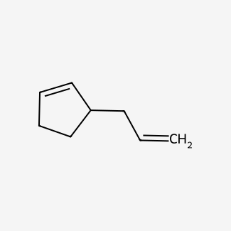 C=CCC1C=CCC1